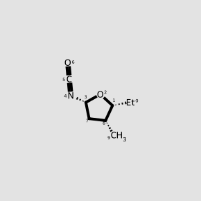 CC[C@H]1O[C@@H](N=C=O)C[C@H]1C